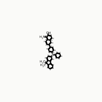 CC1(C)c2ccccc2-c2cc(N(c3ccccc3)c3ccc(-c4ccc5c(N)c(O)ccc5c4)cc3)ccc21